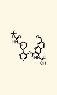 CC(C)(C)OC(=O)N[C@H]1CCCN(c2ccncc2NC(=O)c2nc3cc(C=O)ccc3cc2NC(=O)O)C1